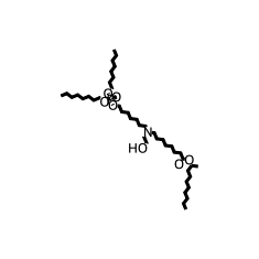 CCCCCCCCOP(=O)(OCCCCCCCC)OCCCCCCCN(CCO)CCCCCCCC(=O)OC(C)CCCCCCCC